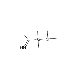 CC(=N)[Si](C)(C)[Si](C)(C)C